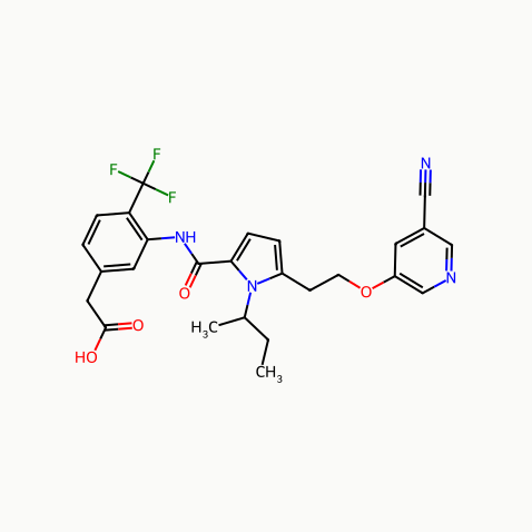 CCC(C)n1c(CCOc2cncc(C#N)c2)ccc1C(=O)Nc1cc(CC(=O)O)ccc1C(F)(F)F